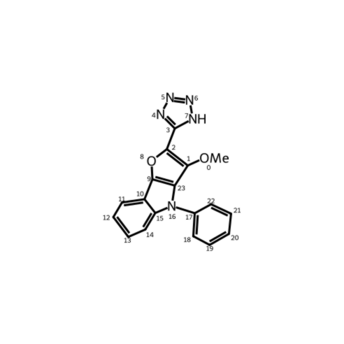 COc1c(-c2nnn[nH]2)oc2c3ccccc3n(-c3ccccc3)c12